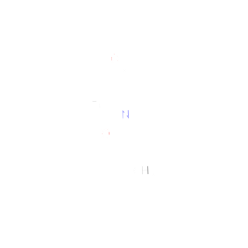 CCC(=O)N(CCC[O])c1cccc(C)c1